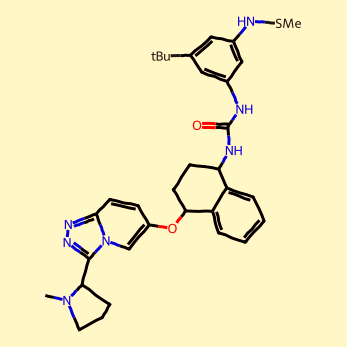 CSNc1cc(NC(=O)NC2CCC(Oc3ccc4nnc(C5CCCN5C)n4c3)c3ccccc32)cc(C(C)(C)C)c1